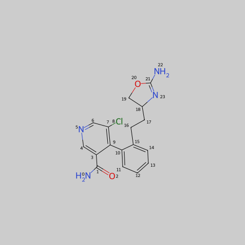 NC(=O)c1cncc(Cl)c1-c1ccccc1CCC1COC(N)=N1